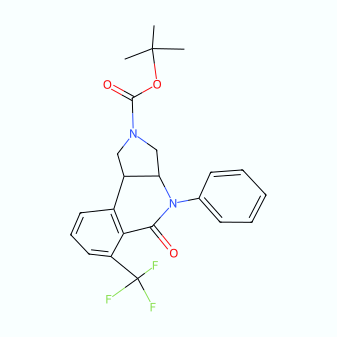 CC(C)(C)OC(=O)N1CC2c3cccc(C(F)(F)F)c3C(=O)N(c3ccccc3)C2C1